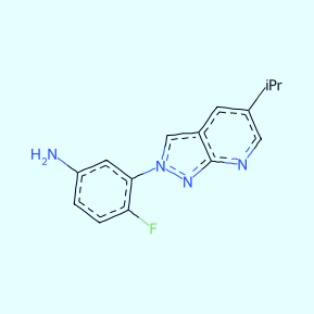 CC(C)c1cnc2nn(-c3cc(N)ccc3F)cc2c1